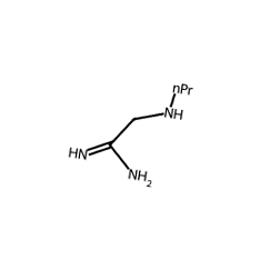 CCCNCC(=N)N